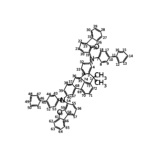 CC1(C)c2cc(N(c3ccc(-c4ccccc4)cc3)c3cccc4c3oc3ccccc34)ccc2-c2cc3ccc(N(c4ccc(-c5ccccc5)cc4)c4cccc5c4oc4ccccc45)cc3c3cccc1c23